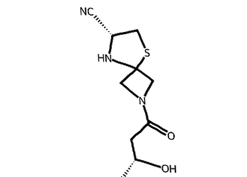 C[C@@H](O)CC(=O)N1CC2(C1)N[C@H](C#N)CS2